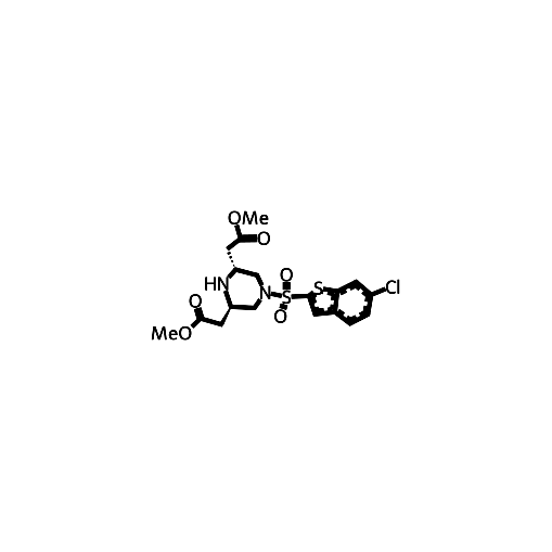 COC(=O)C[C@@H]1CN(S(=O)(=O)c2cc3ccc(Cl)cc3s2)C[C@@H](CC(=O)OC)N1